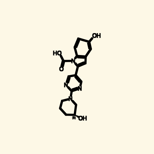 O=C(O)n1c(-c2cnc(N3CCC[C@@H](O)C3)nc2)cc2cc(O)ccc21